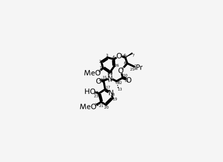 COc1ccc(O[C@@H](C)C(OC(=O)[C@H](C)NC(=O)c2nccc(OC)c2O)C(C)C)cc1